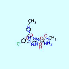 CCCN1CCN(C(=O)COc2ccc(Cl)cc2CNc2ncnc3c2ncn3[C@@H]2O[C@H](C(=O)NC)[C@@H](N)[C@H]2O)CC1